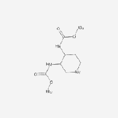 CC(C)(C)OC(=O)NC1CCNCC1NC(=O)OC(C)(C)C